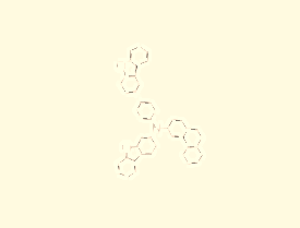 c1ccc2c(c1)ccc1ccc(N(c3ccc(-c4ccc5oc6ccccc6c5c4)cc3)c3ccc4c(c3)oc3ccccc34)cc12